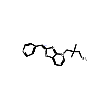 CC(C)(CN)CN1C=CC=c2s/c(=C\c3ccncc3)nc21